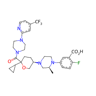 C[C@H]1CN([C@@H]2CCC(C(=O)N3CCN(c4cc(C(F)(F)F)ccn4)CC3)(C3CC3)OC2)CCN1c1ccc(F)c(C(=O)O)c1